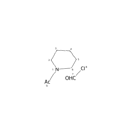 CC(=O)N1CCCCC1.O=CCl